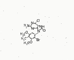 COc1cc(Cn2c(=O)[nH]c3c(Cl)nc(N)nc32)c(Br)c(OC)c1C